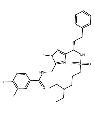 CCN(CC)CCCS(=O)(=O)N[C@H](CCc1ccccc1)c1nc(CNC(=O)c2ccc(F)c(F)c2)n(C)n1